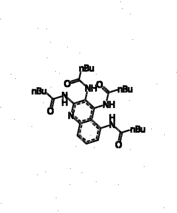 CCCCC(=O)Nc1nc2cccc(NC(=O)CCCC)c2c(NC(=O)CCCC)c1NC(=O)CCCC